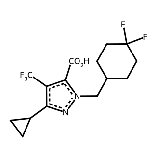 O=C(O)c1c(C(F)(F)F)c(C2CC2)nn1CC1CCC(F)(F)CC1